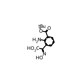 CC(C)(C)OC(=O)c1cccc(C(=NO)C(=O)O)c1N